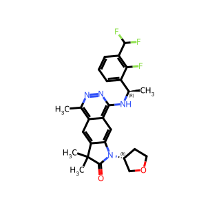 Cc1nnc(N[C@H](C)c2cccc(C(F)F)c2F)c2cc3c(cc12)C(C)(C)C(=O)N3[C@@H]1CCOC1